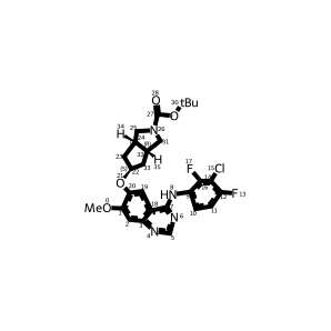 COc1cc2ncnc(Nc3ccc(F)c(Cl)c3F)c2cc1O[C@H]1C[C@@H]2CN(C(=O)OC(C)(C)C)C[C@@H]2C1